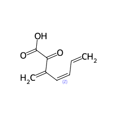 C=C/C=C\C(=C)C(=O)C(=O)O